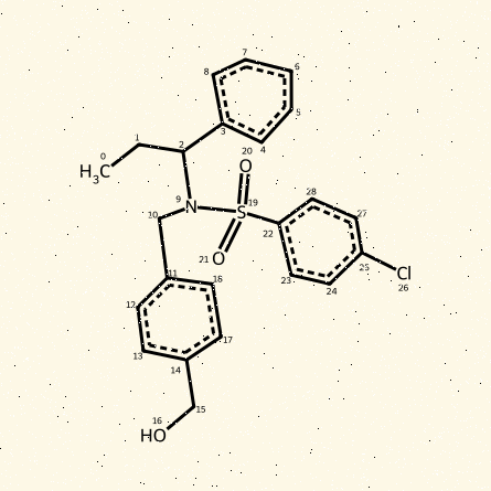 CCC(c1ccccc1)N(Cc1ccc(CO)cc1)S(=O)(=O)c1ccc(Cl)cc1